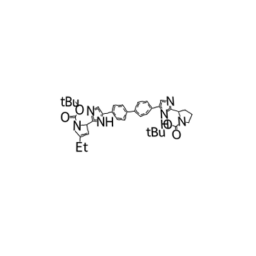 CCC1=CC(c2ncc(-c3ccc(-c4ccc(-c5cnc(C6CCCN6C(=O)OC(C)(C)C)[nH]5)cc4)cc3)[nH]2)N(C(=O)OC(C)(C)C)C1